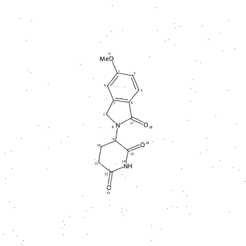 COc1ccc2c(c1)CN(C1CCC(=O)NC1=O)C2=O